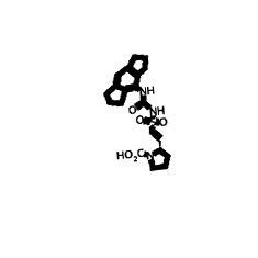 O=C(Nc1c2c(cc3c1CCC3)CCC2)NS(=O)(=O)/C=C/[C@@H]1CCCN1C(=O)O